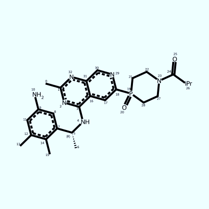 Cc1nc(N[C@H](C)c2cc(N)cc(C)c2C)c2cc(P3(=O)CCN(C(=O)C(C)C)CC3)ncc2n1